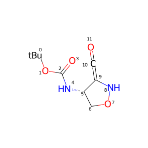 CC(C)(C)OC(=O)N[C@H]1CONC1=C=O